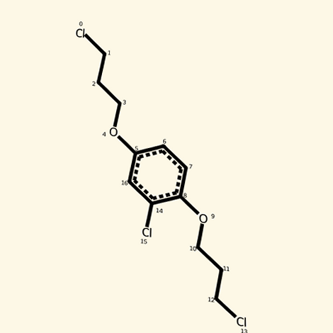 ClCCCOc1ccc(OCCCCl)c(Cl)c1